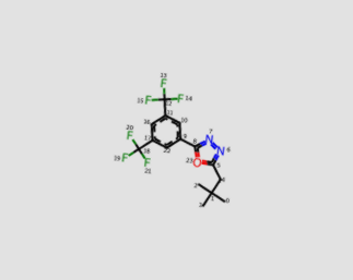 CC(C)(C)[CH]c1nnc(-c2cc(C(F)(F)F)cc(C(F)(F)F)c2)o1